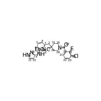 CCOC(=O)C1(Cc2cccc(Nc3cc[nH]n3)n2)CCN(C(=O)c2cccc(Cl)c2F)CC1